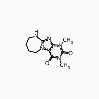 Cn1c(=O)c2c(nc3n2CCCCN3)n(C)c1=O